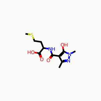 CSCCC(NC(=O)c1c(C)nn(C)c1O)C(=O)O